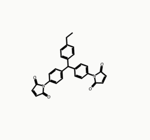 CCc1ccc(C(c2ccc(N3C(=O)C=CC3=O)cc2)c2ccc(N3C(=O)C=CC3=O)cc2)cc1